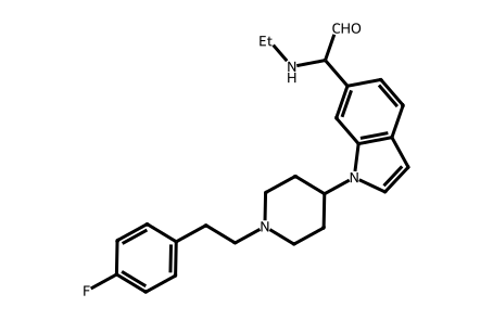 CCNC(C=O)c1ccc2ccn(C3CCN(CCc4ccc(F)cc4)CC3)c2c1